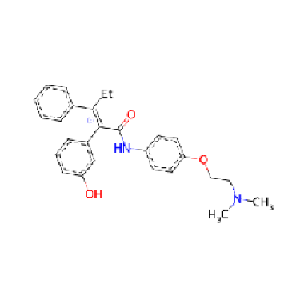 CC/C(=C(\C(=O)Nc1ccc(OCCN(C)C)cc1)c1cccc(O)c1)c1ccccc1